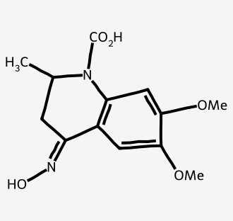 COc1cc2c(cc1OC)N(C(=O)O)C(C)CC2=NO